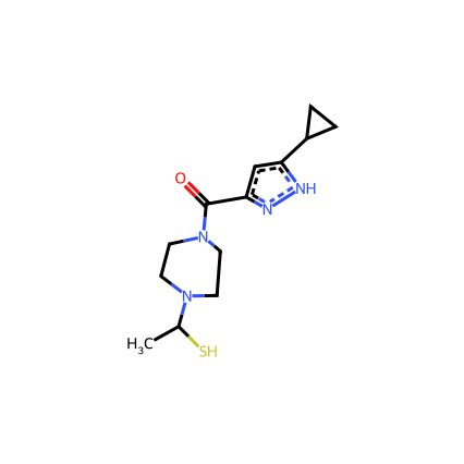 CC(S)N1CCN(C(=O)c2cc(C3CC3)[nH]n2)CC1